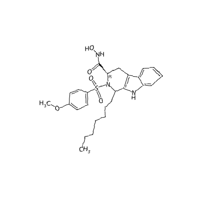 CCCCCCCC1c2[nH]c3ccccc3c2C[C@H](C(=O)NO)N1S(=O)(=O)c1ccc(OC)cc1